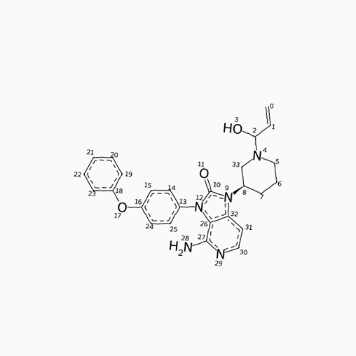 C=CC(O)N1CCC[C@@H](n2c(=O)n(-c3ccc(Oc4ccccc4)cc3)c3c(N)nccc32)C1